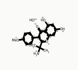 COc1ccc(-c2c(C(C)(C)N)oc3cc(O)cc(O)c3c2=O)cc1.Cl